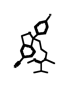 CN=C(C(C)C)N(C)CCCC1(c2ccc(F)cc2)OCc2cc(C#N)ccc21